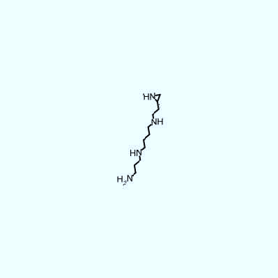 NCCCNCCCCNCCC1CN1